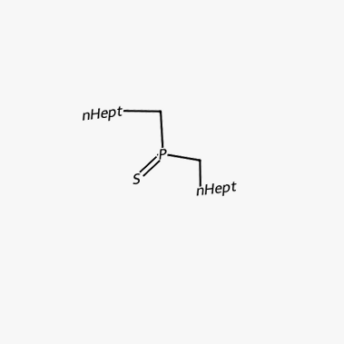 CCCCCCCC[P](=S)CCCCCCCC